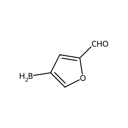 Bc1coc(C=O)c1